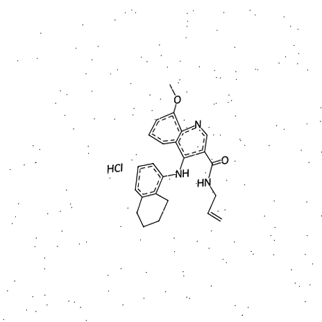 C=CCNC(=O)c1cnc2c(OC)cccc2c1Nc1cccc2c1CCCC2.Cl